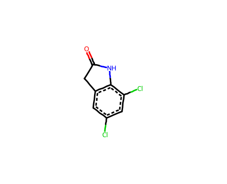 O=C1Cc2cc(Cl)cc(Cl)c2N1